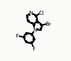 Fc1cc(F)cc(-n2cc(Br)c3c(Cl)nccc32)c1